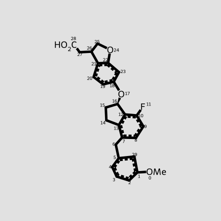 COc1cccc(Cc2ccc(F)c3c2CC[C@H]3Oc2ccc3c(c2)OCC3CC(=O)O)c1